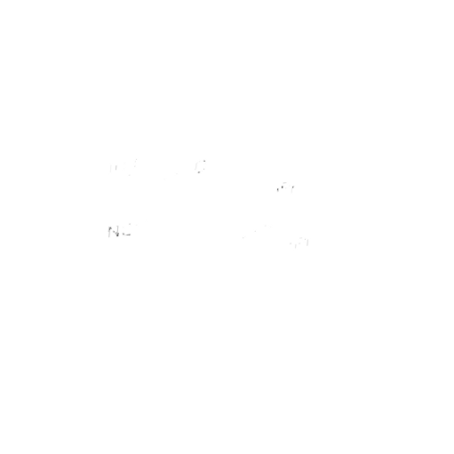 CCCC(CCC)CCCC(C#N)C(=O)C(=O)OCC